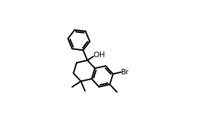 Cc1cc2c(cc1Br)C(O)(c1ccccc1)CCC2(C)C